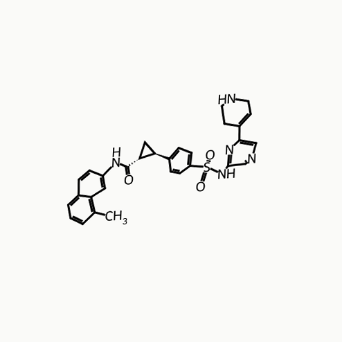 Cc1cccc2ccc(NC(=O)[C@@H]3C[C@H]3c3ccc(S(=O)(=O)Nc4cncc(C5=CCNCC5)n4)cc3)cc12